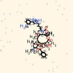 CC[C@H]1OC(=O)[C@H](C)[C@@H](O)[C@H](C)[C@@H](OC2O[C@H](C)C[C@H](N(C)C)[C@H]2OC(=O)c2ccccc2)[C@@](C)(OC)C[C@@H](C)C(=O)[C@H](C)C2N(CCCCN3C=C(c4cccc(N)c4)NN3)C(=O)O[C@@]21C